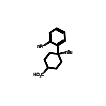 CCCCC1(c2ccccc2CCC)CCC(C(=O)O)CC1